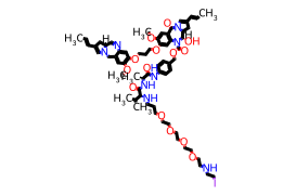 C/C=C/C1=CN2Cc3cc(OC)c(OCCCOc4cc5c(cc4OC)C(=O)N4C=C(/C=C/C)C[C@H]4[C@H](O)N5C(=O)OCc4ccc(NC(=O)[C@H](C)NC(=O)[C@@H](NCCCOCCOCCOCCOCCNCCI)C(C)C)cc4)cc3N=C[C@@H]2C1